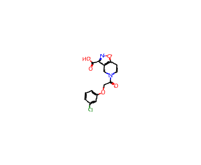 O=C(O)c1noc2c1CN(C(=O)COc1cccc(Cl)c1)CC2